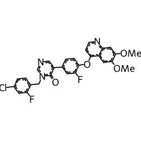 COc1cc2nccc(Oc3ccc(-c4cncn(Cc5ccc(Cl)cc5F)c4=O)cc3F)c2cc1OC